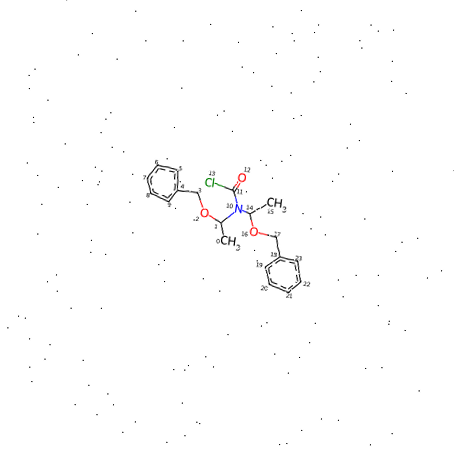 CC(OCc1ccccc1)N(C(=O)Cl)C(C)OCc1ccccc1